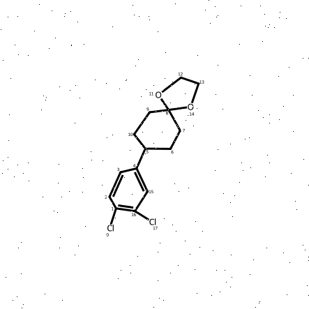 Clc1ccc(C2CCC3(CC2)OCCO3)cc1Cl